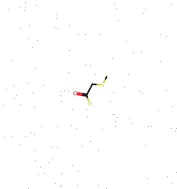 CSCC(=O)[S]